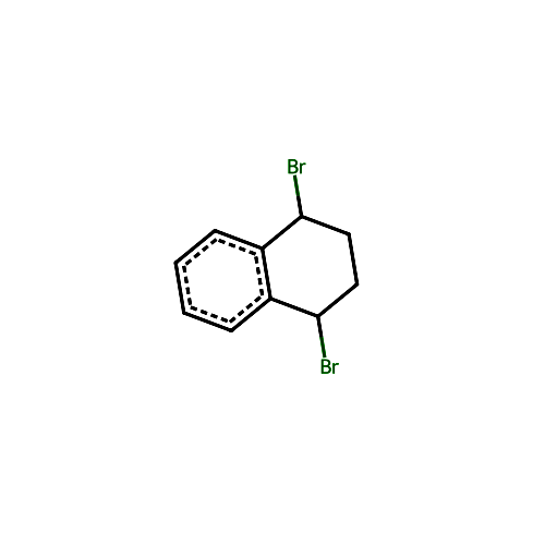 BrC1CCC(Br)c2ccccc21